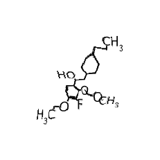 CCCC1CCC(CC(O)c2ccc(OCC)c(F)c2OCOC)CC1